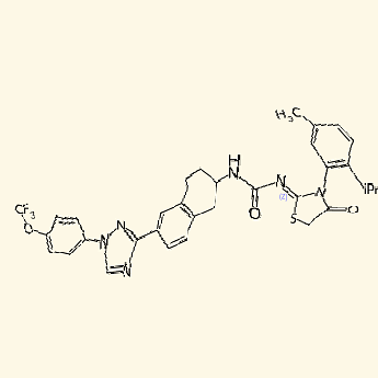 Cc1ccc(C(C)C)c(N2C(=O)CS/C2=N\C(=O)NC2CCc3cc(-c4ncn(-c5ccc(OC(F)(F)F)cc5)n4)ccc3C2)c1